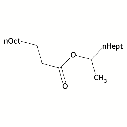 CCCCCCCCCCC(=O)OC(C)CCCCCCC